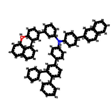 c1ccc(-c2ccc(-c3ccc(N(c4ccc(-c5ccc6ccccc6c5)cc4)c4cccc(-c5ccc6c(c5)-c5cccc7cccc(c57)O6)c4)cc3)cc2-c2ccccc2)cc1